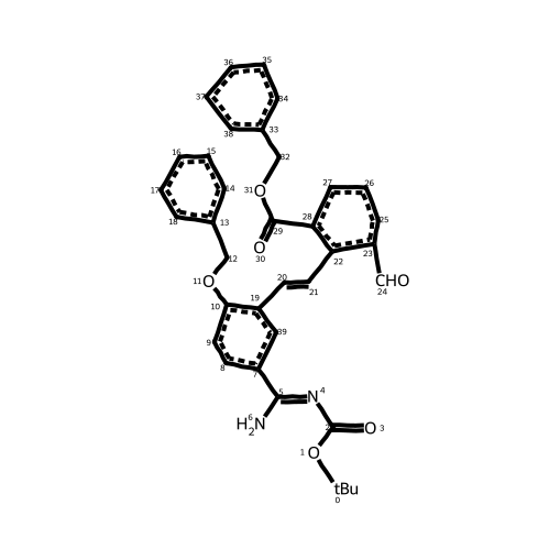 CC(C)(C)OC(=O)N=C(N)c1ccc(OCc2ccccc2)c(C=Cc2c(C=O)cccc2C(=O)OCc2ccccc2)c1